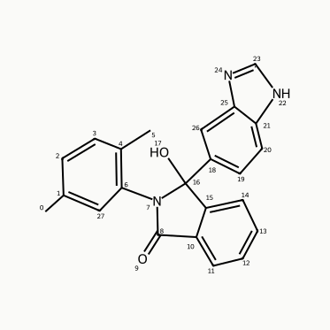 Cc1ccc(C)c(N2C(=O)c3ccccc3C2(O)c2ccc3[nH][c]nc3c2)c1